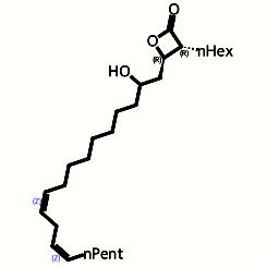 CCCCC/C=C\C/C=C\CCCCCCCC(O)C[C@H]1OC(=O)[C@@H]1CCCCCC